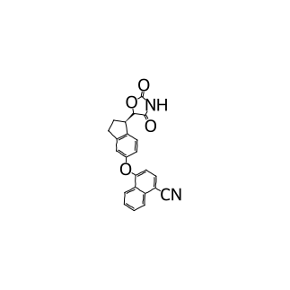 N#Cc1ccc(Oc2ccc3c(c2)CC[C@H]3C2OC(=O)NC2=O)c2ccccc12